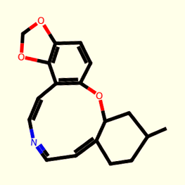 CC1CCC2=CC=NC=Cc3c(ccc4c3OCO4)OC2C1